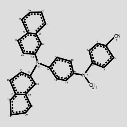 CN(c1ccc(C#N)cc1)c1ccc(N(c2ccc3ccccc3c2)c2ccc3ccccc3c2)cc1